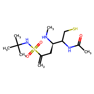 C=C(C[C@@H](NC)C(CS)NC(C)=O)S(=O)(=O)NC(C)(C)C